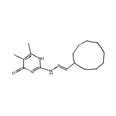 Cc1[nH]c(N/N=C/C2CCCCCCCC2)nc(=O)c1C